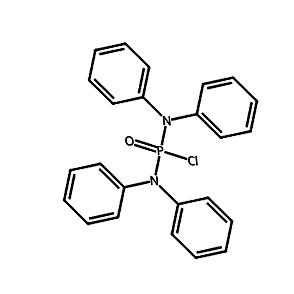 O=P(Cl)(N(c1ccccc1)c1ccccc1)N(c1ccccc1)c1ccccc1